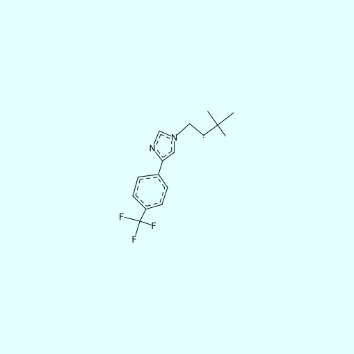 CC(C)(C)[CH]Cn1cnc(-c2ccc(C(F)(F)F)cc2)c1